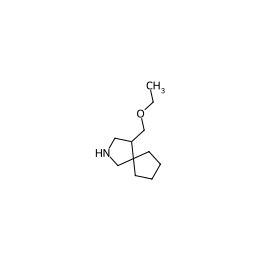 CCOCC1CNCC12CCCC2